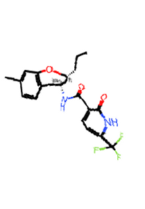 CCC[C@H]1Oc2cc(C)ccc2[C@H]1NC(=O)c1ccc(C(F)(F)F)[nH]c1=O